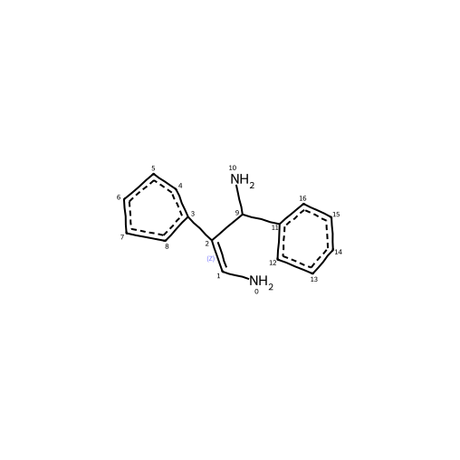 N/C=C(/c1ccccc1)C(N)c1ccccc1